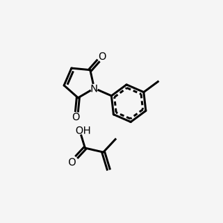 C=C(C)C(=O)O.Cc1cccc(N2C(=O)C=CC2=O)c1